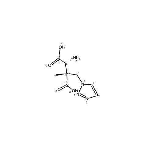 C[C@](Cn1ccnn1)([C@@H](N)C(=O)O)S(=O)O